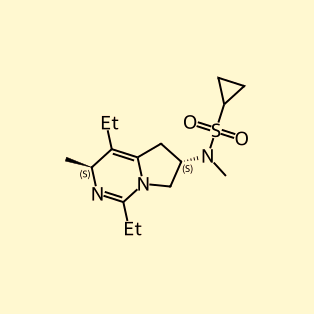 CCC1=N[C@@H](C)C(CC)=C2C[C@H](N(C)S(=O)(=O)C3CC3)CN12